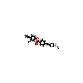 CC#Cc1ccc(C(=O)Oc2ccc(C#N)c(F)c2)cc1